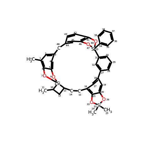 Cc1cc2cc3c1O[Si]1(O3)C(C)CC1CCc1cc(cc3c1O[Si](C)(C)O3)-c1cccc(c1)[Si]1(c3ccccc3)Oc3ccc(cc3O1)C2